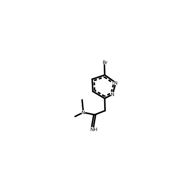 CN(C)C(=N)Cc1ccc(Br)nn1